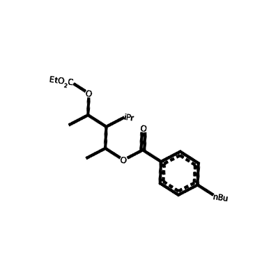 CCCCc1ccc(C(=O)OC(C)C(C(C)C)C(C)OC(=O)OCC)cc1